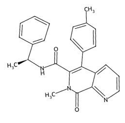 Cc1ccc(-c2c(C(=O)N[C@@H](C)c3ccccc3)n(C)c(=O)c3ncccc23)cc1